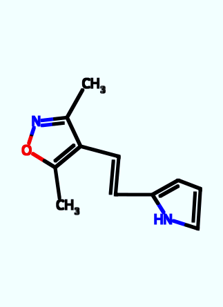 Cc1noc(C)c1/C=C/c1ccc[nH]1